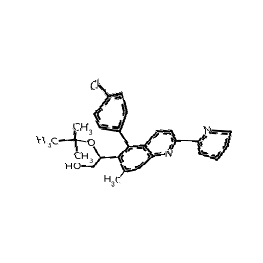 Cc1cc2nc(-c3ccccn3)ccc2c(-c2ccc(Cl)cc2)c1C(CO)OC(C)(C)C